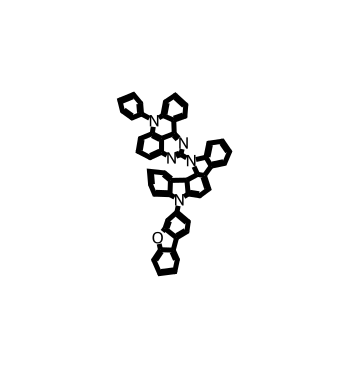 C1=C2c3ccccc3N(c3nc4c5c(cccc5n3)N(c3ccccc3)c3ccccc3-4)C2C2C(=C1)N(c1ccc3c(c1)oc1ccccc13)c1ccccc12